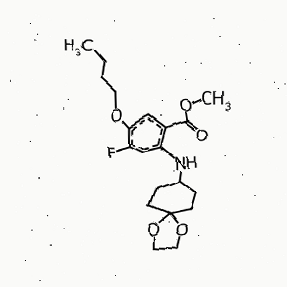 CCCCOc1cc(C(=O)OC)c(NC2CCC3(CC2)OCCO3)cc1F